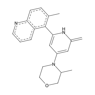 C=C1C=C(N2CCOCC2C)C=C(c2c(C)ccc3ncccc23)N1